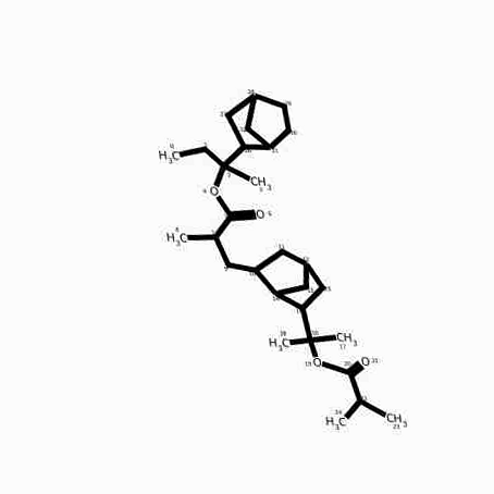 CCC(C)(OC(=O)C(C)CC1CC2CC1C(C(C)(C)OC(=O)C(C)C)C2)C1CC2CCC1C2